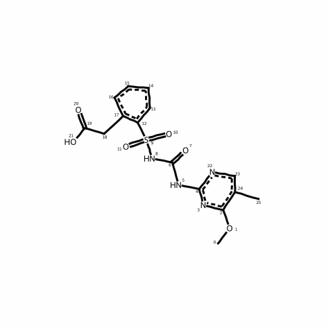 COc1nc(NC(=O)NS(=O)(=O)c2ccccc2CC(=O)O)ncc1C